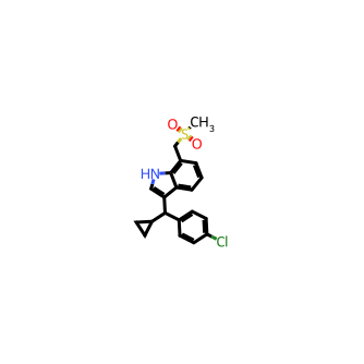 CS(=O)(=O)Cc1cccc2c(C(c3ccc(Cl)cc3)C3CC3)c[nH]c12